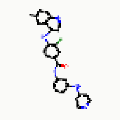 Cc1ccc2nccc(Nc3ccc(C(=O)Nc4cccc(Nc5ccncc5)c4)cc3F)c2c1